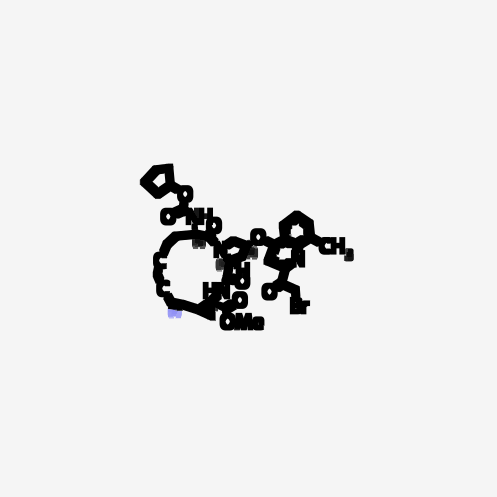 COC(=O)[C@@]12CC1/C=C\CCCCC[C@H](NC(=O)OC1CCCC1)C(=O)N1C[C@H](Oc3cc(C(=O)CBr)nc4c(C)cccc34)C[C@H]1C(=O)N2